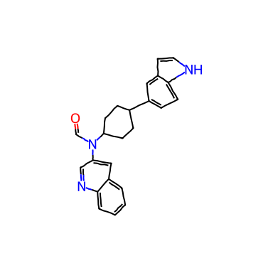 O=CN(c1cnc2ccccc2c1)C1CCC(c2ccc3[nH]ccc3c2)CC1